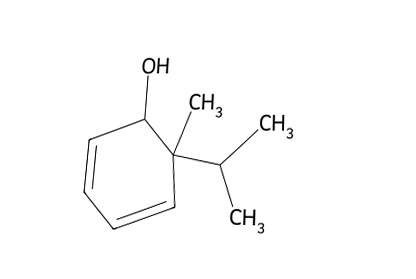 CC(C)C1(C)C=CC=CC1O